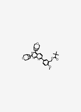 COc1ccc(-c2ccc3c(N4C5CCC4COC5)nc(N4C5CCC4COC5)nc3n2)cc1COC(=O)C(C)(C)C